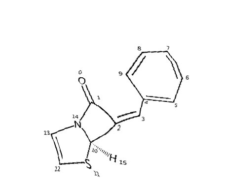 O=C1/C(=C\c2ccccc2)[C@H]2SC=CN12